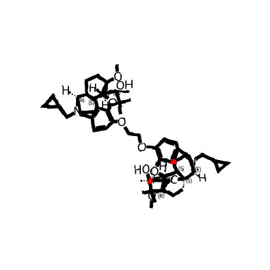 COC12CCC3(C[C@@H]1[C@](C)(O)C(C)(C)C)[C@H]1Cc4ccc(OCCOc5ccc6c7c5O[C@H]5[C@@]8(OC)CC[C@@]9(C[C@@H]8[C@](C)(O)C(C)(C)C)[C@@H](C6)N(CC6CC6)CC[C@]759)c5c4[C@@]3(CCN1CC1CC1)[C@H]2O5